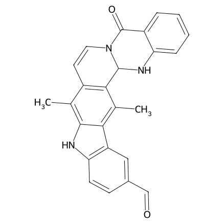 Cc1c2c(c(C)c3c1[nH]c1ccc(C=O)cc13)C1Nc3ccccc3C(=O)N1C=C2